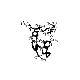 [2H]C([2H])([2H])N(CCN(C([2H])([2H])[2H])C([2H])([2H])[2H])c1cc(OC)c(Nc2ncc(C(=O)OC(C)C)c(N3CC4(CC4)c4nc(C)ccc43)n2)cc1NC(=O)C=C